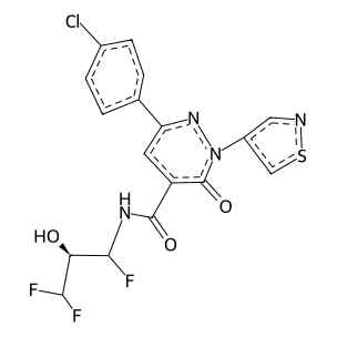 O=C(NC(F)[C@H](O)C(F)F)c1cc(-c2ccc(Cl)cc2)nn(-c2cnsc2)c1=O